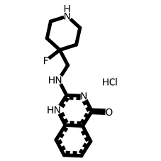 Cl.O=c1nc(NCC2(F)CCNCC2)[nH]c2ccccc12